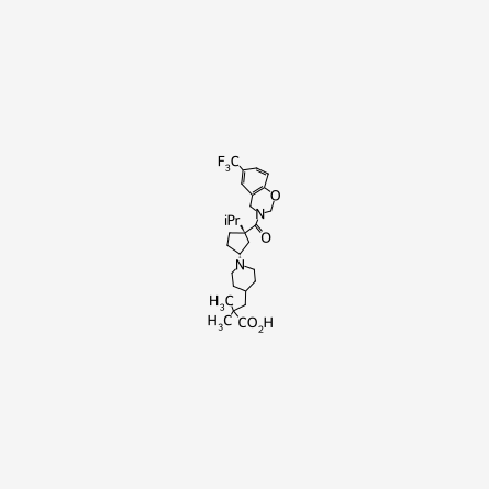 CC(C)[C@]1(C(=O)N2COc3ccc(C(F)(F)F)cc3C2)CC[C@@H](N2CCC(CC(C)(C)C(=O)O)CC2)C1